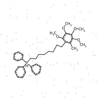 COc1c(C)c(CCCCCCCC[PH](c2ccccc2)(c2ccccc2)c2ccccc2)c(OC)c(OC)c1OC